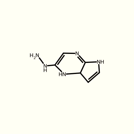 NNC1=CN=C2NC=CC2N1